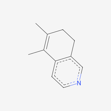 CC1=C(C)c2ccncc2CC1